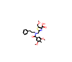 COCc1sc(CN(CCCc2ccccc2)C(=O)c2cc(OC)c(C)c(OC)c2)nc1C(=O)O